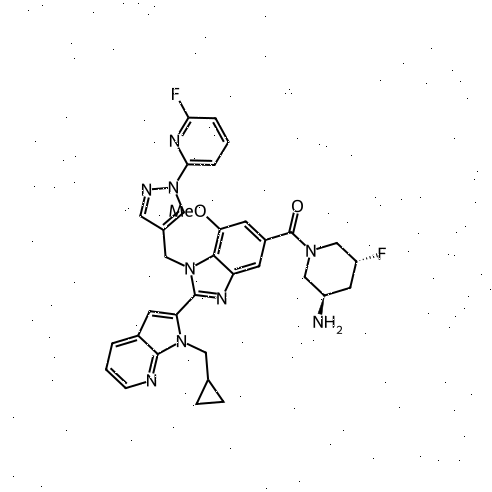 COc1cc(C(=O)N2C[C@H](N)C[C@@H](F)C2)cc2nc(-c3cc4cccnc4n3CC3CC3)n(Cc3cnn(-c4cccc(F)n4)c3)c12